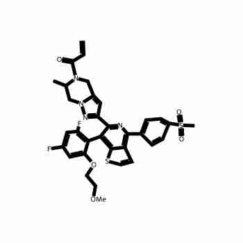 C=CC(=O)N1Cc2cc(-c3nc(-c4ccc(S(C)(=O)=O)cc4)c4ccsc4c3-c3c(F)cc(F)cc3OCCOC)nn2CC1C